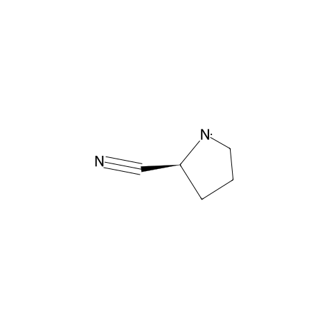 N#C[C@@H]1CCC[N]1